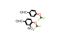 O=Cc1ccc(OC(F)F)c([N+](=O)[O-])c1.O=Cc1ccc(OC(F)F)cc1